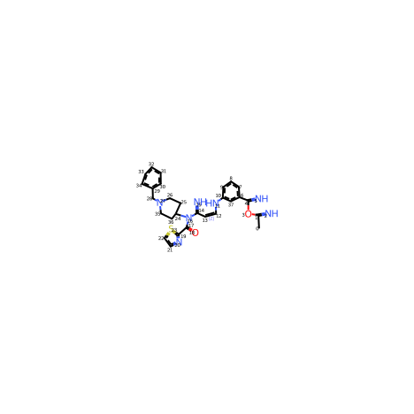 CC(=N)OC(=N)c1cccc(N/C=C\C(=N)N(C(=O)c2nccs2)C2CCN(Cc3ccccc3)CC2)c1